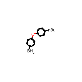 Bc1ccc(Oc2ccc(CCCC)cc2)cc1